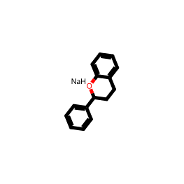 [NaH].c1ccc(C2CCc3ccccc3O2)cc1